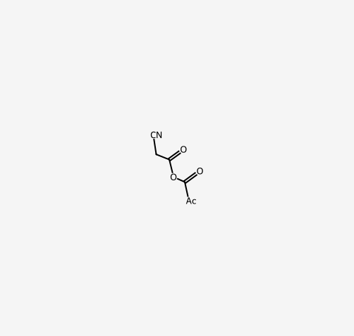 CC(=O)C(=O)OC(=O)CC#N